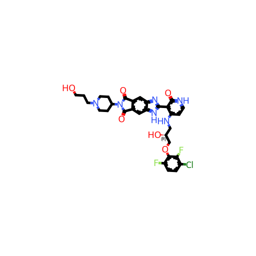 O=C1c2cc3nc(-c4c(NC[C@@H](O)COc5c(F)ccc(Cl)c5F)cc[nH]c4=O)[nH]c3cc2C(=O)N1C1CCN(CCCO)CC1